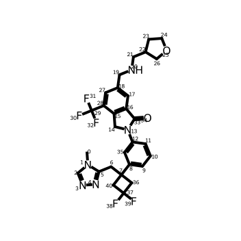 Cn1cnnc1CC1(c2cccc(N3Cc4c(cc(CNCC5CCOC5)cc4C(F)(F)F)C3=O)c2)CC(F)(F)C1